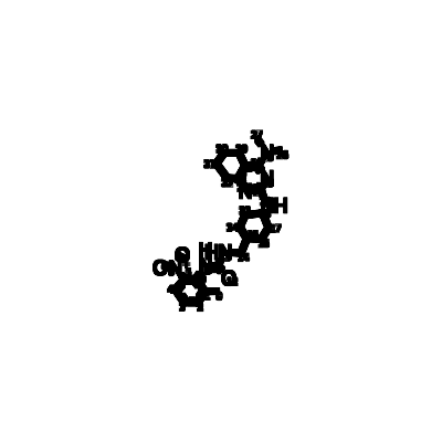 Cc1cccc([N+](=O)[O-])c1NC(=O)NCC1CCC(Nc2nc3c(c(N(C)C)n2)CCCC3)CC1